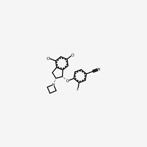 N#Cc1ccc(O[C@H]2c3cc(Cl)cc(Cl)c3C[C@H]2N2CCC2)c(F)c1